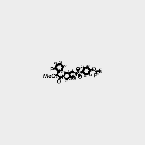 COC(C(=O)N1Cc2cn(S(=O)(=O)c3ccc(OC(F)F)cc3)nc2C1)c1ccccc1F